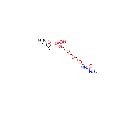 BC1CC(C)C(COP(O)OCCOCCOCCOCCNC(N)=O)O1